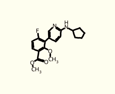 COC(=O)c1ccc(F)c(-c2ccc(NC3CCCC3)nc2)c1OC